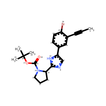 CC#Cc1cc(-c2cnc(C3CCCN3C(=O)OC(C)(C)C)[nH]2)ccc1Br